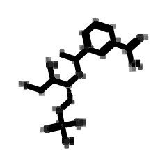 CC(O[C@H](COP(=O)(O)O)C(O)CF)[n+]1cccc(C(N)=O)c1